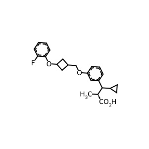 C[C@H](C(=O)O)C(c1cccc(OCC2CC(Oc3ccccc3F)C2)c1)C1CC1